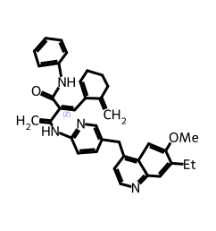 C=C1CCCC=C1/C=C(/C(=C)Nc1ccc(Cc2ccnc3cc(CC)c(OC)cc23)cn1)C(=O)Nc1ccccc1